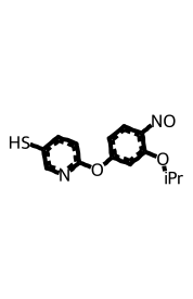 CC(C)Oc1cc(Oc2ccc(S)cn2)ccc1N=O